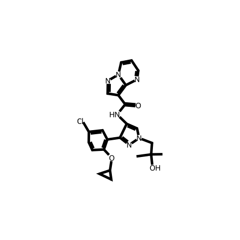 CC(C)(O)Cn1cc(NC(=O)c2cnn3cccnc23)c(-c2cc(Cl)ccc2OC2CC2)n1